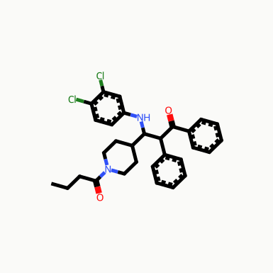 CCCC(=O)N1CCC(C(Nc2ccc(Cl)c(Cl)c2)C(C(=O)c2ccccc2)c2ccccc2)CC1